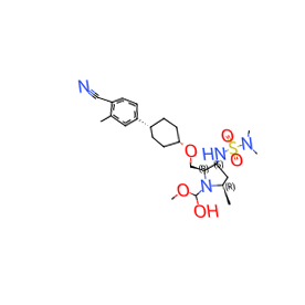 COC(O)N1[C@H](C)C[C@H](NS(=O)(=O)N(C)C)[C@@H]1CO[C@H]1CC[C@@H](c2ccc(C#N)c(C)c2)CC1